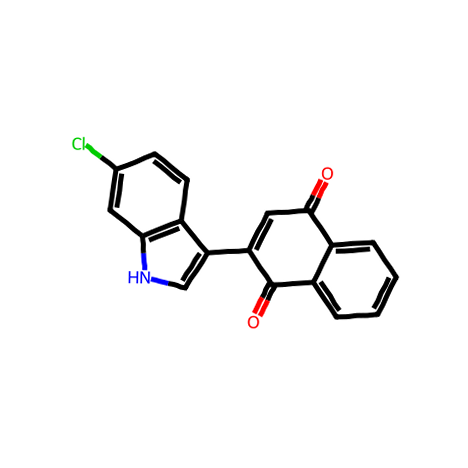 O=C1C=C(c2c[nH]c3cc(Cl)ccc23)C(=O)c2ccccc21